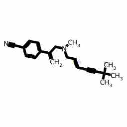 C=C(CN(C)C/C=C/C#CC(C)(C)C)c1ccc(C#N)cc1